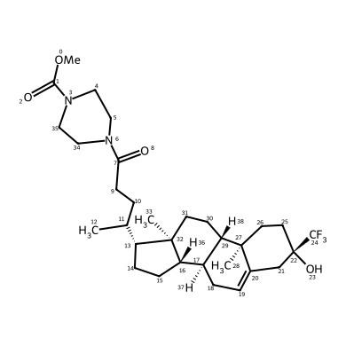 COC(=O)N1CCN(C(=O)CCC(C)[C@H]2CC[C@H]3[C@@H]4CC=C5C[C@](O)(C(F)(F)F)CC[C@]5(C)[C@H]4CC[C@]23C)CC1